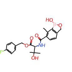 Cc1c(C(=O)N[C@H](C(=O)OCc2ccc(F)cc2)C(C)(C)O)ccc2c1B(O)OC2